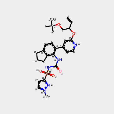 C=CC(CO[Si](C)(C)C(C)(C)C)Oc1cc(-c2ccc3c(c2NC(=O)NS(=O)(=O)c2ccn(C(C)C)n2)CCC3)ccn1